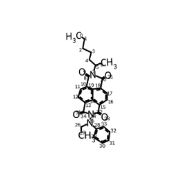 CCCCCC(C)N1C(=O)c2ccc3c4c(ccc(c24)C1=O)C(=O)N(N(CC)c1ccccc1)C3=O